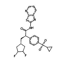 O=C(Nc1nc2cccnc2s1)[C@H](CC1CC(F)C(F)C1)c1ccc(S(=O)(=O)C2CC2)cc1